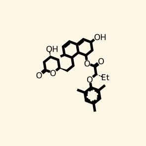 CC[C@H](Oc1c(C)cc(C)cc1C)C(=O)OC1CC(O)C=C2C=CC(C)C(CC[C@@H]3C[C@@H](O)CC(=O)O3)C21